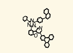 CN1C(c2cccc3oc4c(-c5ccc6c7ccccc7c7ccccc7c6c5)cncc4c23)=NC(c2ccccc2)=NC1c1ccc(-c2cccc3ccccc23)cc1